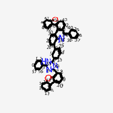 c1ccc(C2=NC(c3cccc4c3oc3ccccc34)=NC(c3cccc(-c4cccc5c4nc(-c4ccccc4)c4ccc6oc7ccccc7c6c45)c3)N2)cc1